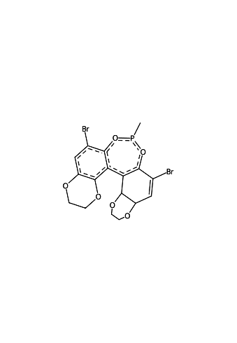 Cp1oc2c(c3c4c(cc(Br)c3o1)OCCO4)C1OCCOC1C=C2Br